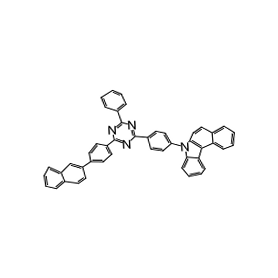 c1ccc(-c2nc(-c3ccc(-c4ccc5ccccc5c4)cc3)nc(-c3ccc(-n4c5ccccc5c5c6ccccc6ccc54)cc3)n2)cc1